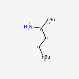 CCCCCC[C](N)CCCC